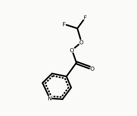 O=C(OOC(F)F)c1ccncc1